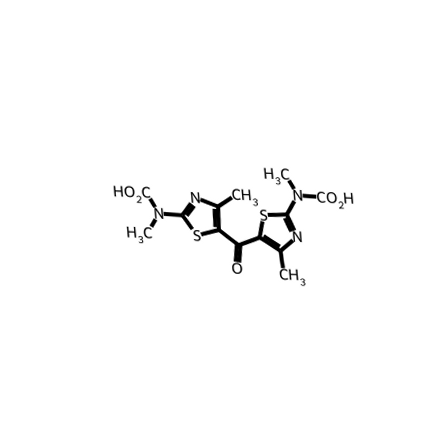 Cc1nc(N(C)C(=O)O)sc1C(=O)c1sc(N(C)C(=O)O)nc1C